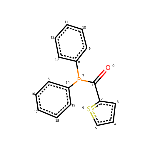 O=C(c1cccs1)P(c1ccccc1)c1ccccc1